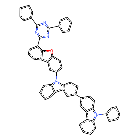 c1ccc(-c2nc(-c3ccccc3)nc(-c3cccc4c3oc3ccc(-n5c6ccccc6c6cc(-c7ccc8c(c7)c7ccccc7n8-c7ccccc7)ccc65)cc34)n2)cc1